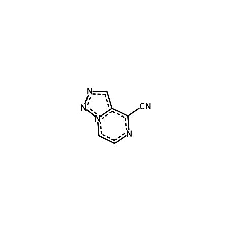 N#Cc1nccn2nncc12